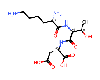 C[C@@H](O)[C@H](NC(=O)[C@@H](N)CCCCN)C(=O)N[C@@H](CC(=O)O)C(=O)O